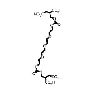 O=C(O)CC(COC(=O)OCCOCCOCCOCCOC(=O)OCC(CC(=O)O)C(=O)O)C(=O)O